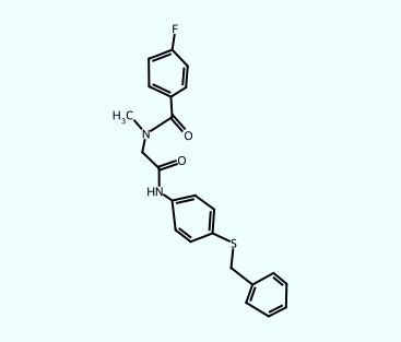 CN(CC(=O)Nc1ccc(SCc2ccccc2)cc1)C(=O)c1ccc(F)cc1